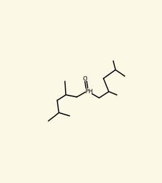 CC(C)CC(C)C[PH](=O)CC(C)CC(C)C